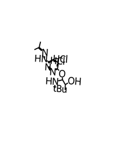 CC(C)=NNc1ccc(OC(NC(C)(C)C)C(C)O)nn1.Cl.Cl